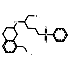 CCC(CCCS(=O)(=O)c1ccccc1)NC1CCc2cccc(OC)c2C1